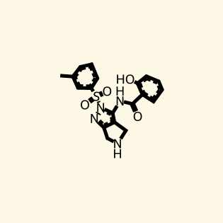 Cc1cccc(S(=O)(=O)n2nc3c(c2NC(=O)c2ccccc2O)CNC3)c1